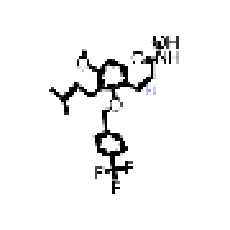 COc1ccc(/C=C\C(=O)NO)c(OCc2ccc(C(F)(F)F)cc2)c1CC=C(C)C